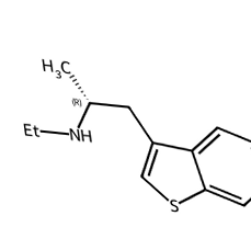 CCN[C@H](C)Cc1csc2ccccc12